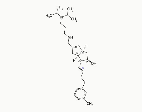 Cc1cccc(CC/C=C/[C@@H]2[C@H]3CC(CNCCCN(C(C)C)C(C)C)=C[C@H]3C[C@H]2O)c1